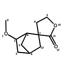 COC1CC2CC1C1(CCOC1=O)C2